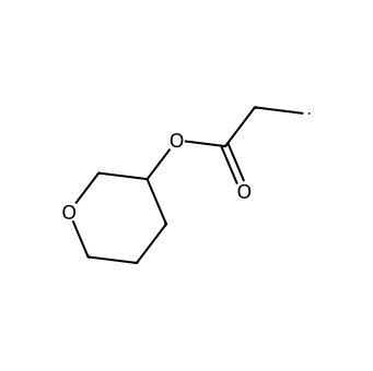 [CH2]CC(=O)OC1CCCOC1